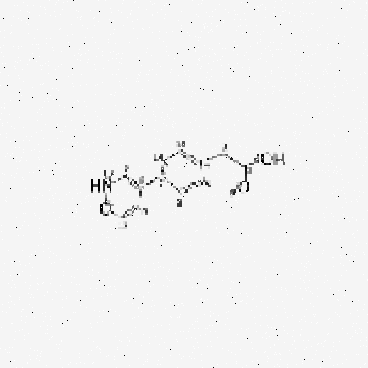 O=C(O)Cc1ccc(C2=CNOC=C2)cc1